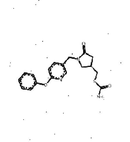 NC(=O)SC[C@@H]1CC(=O)N(Cc2ccc(Oc3ccccc3)nc2)C1